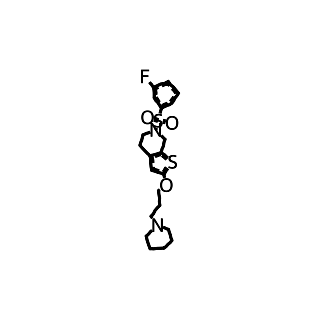 O=S(=O)(c1cccc(F)c1)N1CCc2cc(OCCCN3CCCCC3)sc2C1